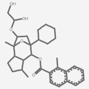 Cc1c(C(=O)OC2C3C(C)CCC3C3(C)OC2(C2CCCCC2)CC3OC(O)CO)ccc2ccccc12